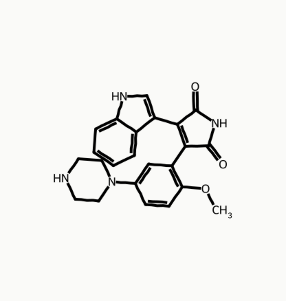 COc1ccc(N2CCNCC2)cc1C1=C(c2c[nH]c3ccccc23)C(=O)NC1=O